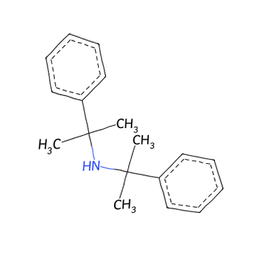 CC(C)(NC(C)(C)c1ccccc1)c1ccccc1